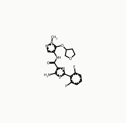 Cn1ncc(NC(=O)c2nc(-c3c(F)cccc3F)sc2N)c1OC1CCOC1